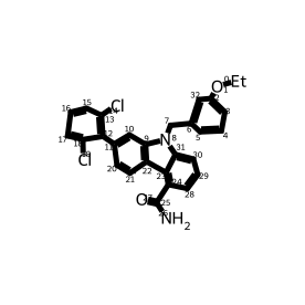 CCOc1cccc(Cn2c3cc(-c4c(Cl)cccc4Cl)c[c]c3c3c(C(N)=O)cccc32)c1